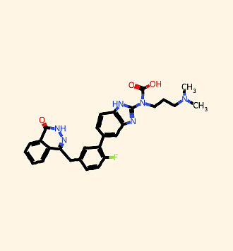 CN(C)CCCN(C(=O)O)c1nc2cc(-c3cc(Cc4n[nH]c(=O)c5ccccc45)ccc3F)ccc2[nH]1